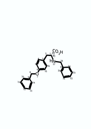 O=C(O)[C@@H](Cc1ccc(OCc2ccccc2)cc1)NCc1ccccc1